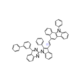 C(=C\c1c(-c2ccccc2)n(-c2nc(-c3cccc(-c4ccccc4)c3)c3ccccc3n2)c2ccccc12)/c1cc2c3ccccc3n(-c3ccccc3)c2c2ccccc12